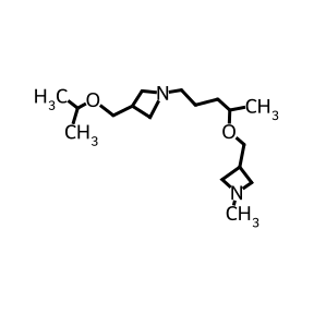 CC(C)OCC1CN(CCCC(C)OCC2CN(C)C2)C1